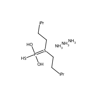 CC(C)CCS(CCC(C)C)=P(O)(O)S.N.N.N